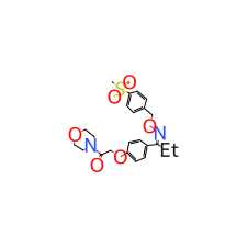 CCC(=NOCc1ccc(S(C)(=O)=O)cc1)c1ccc(OCC(=O)N2CCOCC2)cc1